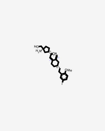 C=C(/C=C1/CC[C@@H](CCc2cc(I)ccc2OC)C/C1=C/C)[C@H]1CC[C@](N)(CO)C1